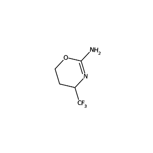 NC1=NC(C(F)(F)F)CCO1